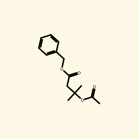 CC(=O)OC(C)(C)CC(=O)OCc1ccccc1